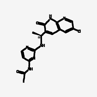 CC(=O)Nc1ccnc(N[C@@H](C)c2cc3cc(Cl)cnc3[nH]c2=O)n1